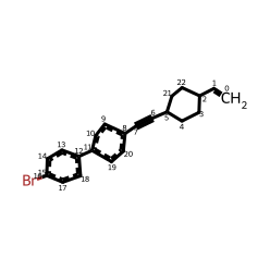 C=CC1CCC(C#Cc2ccc(-c3ccc(Br)cc3)cc2)CC1